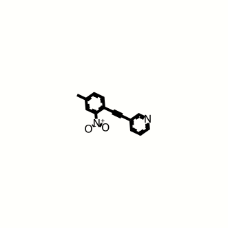 Cc1ccc(C#Cc2cccnc2)c([N+](=O)[O-])c1